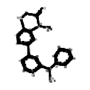 CN1C(=O)COc2ccc(-c3ccnc(N(C)c4ccccc4)c3)cc21